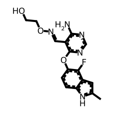 Cc1cc2c(F)c(Oc3ncnc(N)c3C=NOCCO)ccc2[nH]1